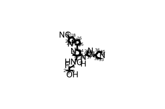 CC(C)(O)C(F)CNC(=O)c1cnc(-c2ccc3cc(C#N)cnn23)cc1Nc1cnn(-c2ccncc2)c1